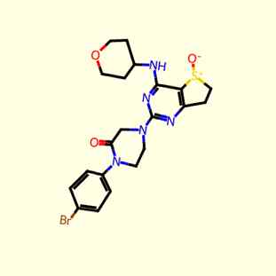 O=C1CN(c2nc3c(c(NC4CCOCC4)n2)[S+]([O-])CC3)CCN1c1ccc(Br)cc1